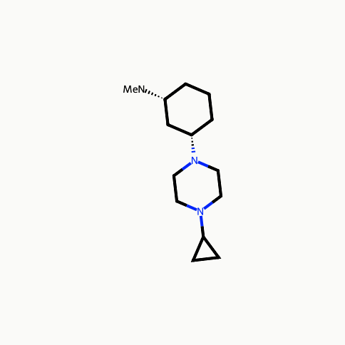 CN[C@@H]1CCC[C@H](N2CCN(C3CC3)CC2)C1